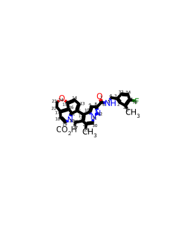 Cc1cc(CNC(=O)c2cc3c(-c4ccc5c6c(ccnc46)CCO5)c(CC(=O)O)c(C)cn3n2)ccc1F